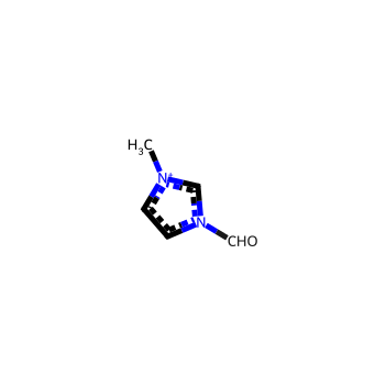 C[n+]1ccn(C=O)c1